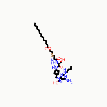 CCCCCCCCCCCCCC(=O)OCCSC[C@@H](N)C(=O)N[C@@H](CO)C(=O)Nc1ccc(Cn2c(O)nc3c(N)nc(NCCCC)nc32)cc1